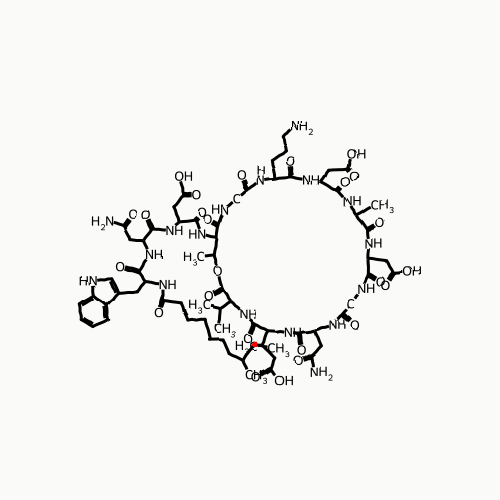 CCC(C)CCCCCCC(=O)NC(Cc1c[nH]c2ccccc12)C(=O)NC(CC(N)=O)C(=O)NC(CC(=O)O)C(=O)NC1C(=O)NCC(=O)NC(CCCN)C(=O)NC(CC(=O)O)C(=O)NC(C)C(=O)NC(CC(=O)O)C(=O)NCC(=O)NC(CC(N)=O)C(=O)NC(C(C)CC(=O)O)C(=O)NC(C(C)C)C(=O)OC1C